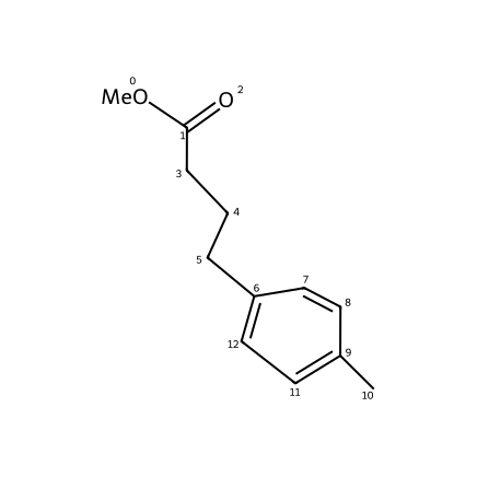 COC(=O)CCCc1ccc(C)cc1